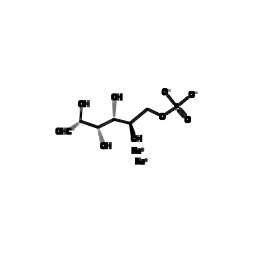 O=C[C@H](O)[C@@H](O)[C@H](O)[C@H](O)COP(=O)([O-])[O-].[Na+].[Na+]